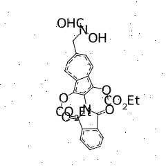 CCOC(=O)Oc1c2ccc(CN(O)C=O)ccc-2c(OC(=O)OCC)c1N1C(=O)c2ccccc2C1=O